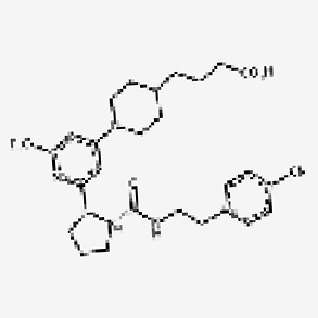 N#Cc1ccc(CCNC(=O)[C@@H]2CCCN2c2cc(N3CCC(CCCC(=O)O)CC3)cc(C(F)(F)F)n2)cc1